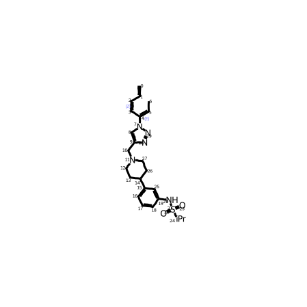 C=C/C=C\C(=C/C)n1cc(CN2CCC(c3cccc(NS(=O)(=O)C(C)C)c3)CC2)nn1